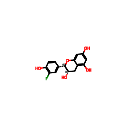 Oc1cc(O)c2c(c1)O[C@@H](c1ccc(O)c(F)c1)[C@@H](O)C2